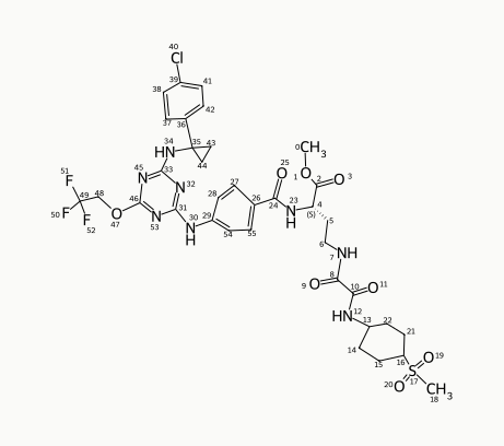 COC(=O)[C@H](CCNC(=O)C(=O)NC1CCC(S(C)(=O)=O)CC1)NC(=O)c1ccc(Nc2nc(NC3(c4ccc(Cl)cc4)CC3)nc(OCC(F)(F)F)n2)cc1